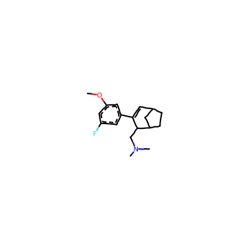 COc1cc(F)cc(C2=CC3CCC(C3)C2CN(C)C)c1